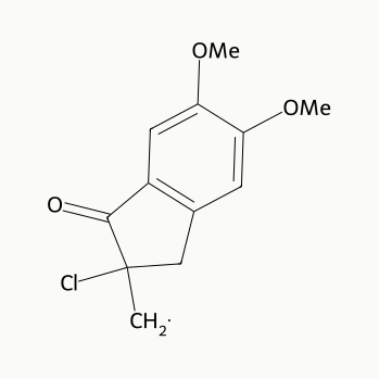 [CH2]C1(Cl)Cc2cc(OC)c(OC)cc2C1=O